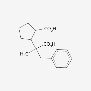 CC(Cc1ccccc1)(C(=O)O)C1CCCC1C(=O)O